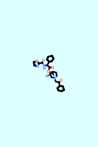 O=C(C[N+]12CCC(CC1)[C@@H](OC(=O)C(NC(=O)c1nccs1)c1ccccc1)C2)c1ccccc1